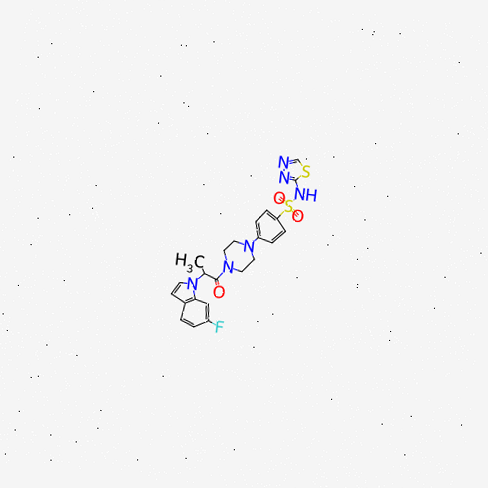 CC(C(=O)N1CCN(c2ccc(S(=O)(=O)Nc3nncs3)cc2)CC1)n1ccc2ccc(F)cc21